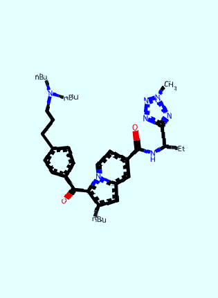 CCCCc1cc2cc(C(=O)NC(CC)c3nnn(C)n3)ccn2c1C(=O)c1ccc(CCCN(CCCC)CCCC)cc1